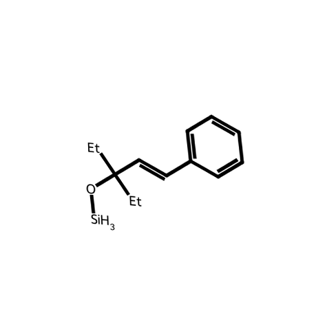 CCC(C=Cc1ccccc1)(CC)O[SiH3]